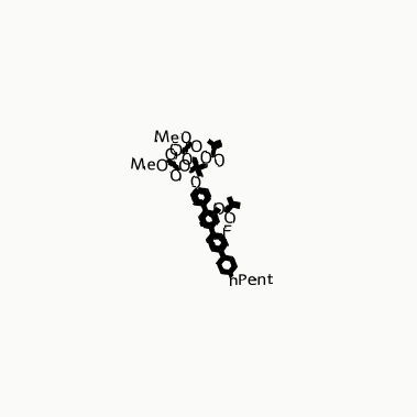 C=C(C)C(=O)OCC(COC(=O)C(=O)OC)(COC(=O)C(=O)OC)COc1ccc(-c2ccc(-c3ccc(C4CCC(CCCCC)CC4)cc3F)cc2OC(=O)C(=C)C)cc1